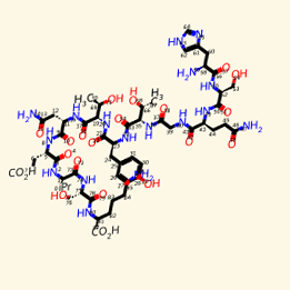 CC(C)[C@H](NC(=O)[C@H](CC(=O)O)NC(=O)[C@H](CC(N)=O)NC(=O)[C@@H](NC(=O)[C@H](Cc1ccc(O)cc1)NC(=O)[C@@H](NC(=O)CNC(=O)[C@H](CCC(N)=O)NC(=O)[C@H](CO)NC(=O)[C@@H](N)Cc1c[nH]cn1)[C@@H](C)O)[C@@H](C)O)C(=O)N[C@@H](CO)C(=O)N[C@@H](CCCCN)C(=O)O